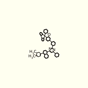 CC1CC(c2ccc(-c3cc(-c4ccccc4)nc(-c4cccc(-c5ccc6c(c5)Oc5ccccc5C65c6ccccc6-c6ccccc65)c4)n3)c3ccccc23)=CC[C@@H]1C